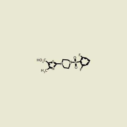 Cc1nc(N2CCN(S(=O)(=O)c3c(F)cccc3F)CC2)sc1C(=O)O